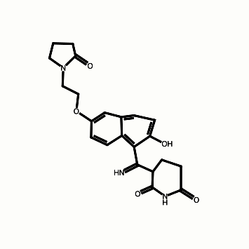 N=C(c1c(O)ccc2cc(OCCN3CCCC3=O)ccc12)C1CCC(=O)NC1=O